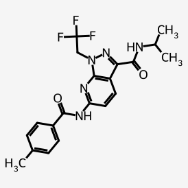 Cc1ccc(C(=O)Nc2ccc3c(C(=O)NC(C)C)nn(CC(F)(F)F)c3n2)cc1